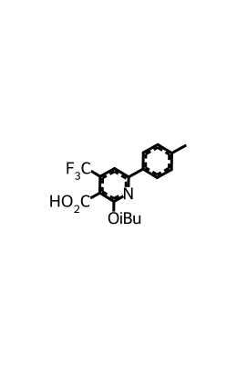 Cc1ccc(-c2cc(C(F)(F)F)c(C(=O)O)c(OCC(C)C)n2)cc1